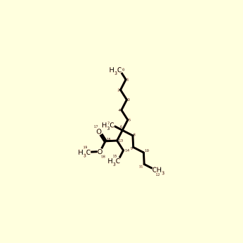 CCCCCCC(C)(CCCCC)C(CC)C(=O)OC